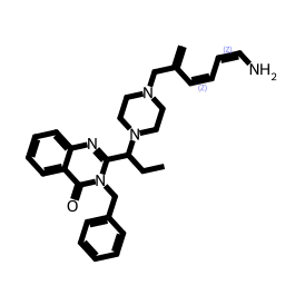 C=C(/C=C\C=C/N)CN1CCN(C(CC)c2nc3ccccc3c(=O)n2Cc2ccccc2)CC1